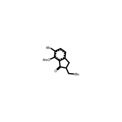 COc1c(C(C)(C)C)ccc2c1C(=O)C(CC(C)(C)C)C2